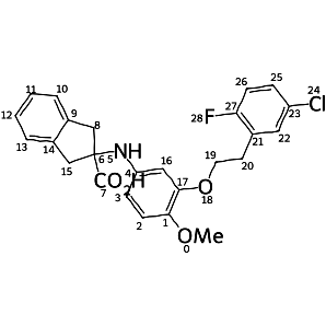 COc1ccc(NC2(C(=O)O)Cc3ccccc3C2)cc1OCCc1cc(Cl)ccc1F